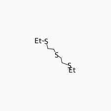 [CH2]CSCCSCCSCC